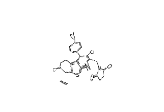 C=C.COc1ccc(-c2c(Cl)c(CN3C(=O)CCC3=O)nc3sc4c(c23)CCC(=O)C4)cc1